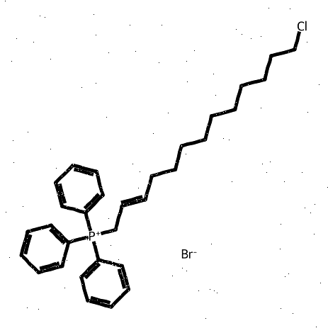 ClCCCCCCCCCCC=CC[P+](c1ccccc1)(c1ccccc1)c1ccccc1.[Br-]